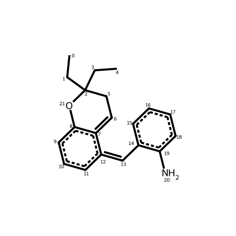 CCC1(CC)CC=c2c(ccc/c2=C/c2ccccc2N)O1